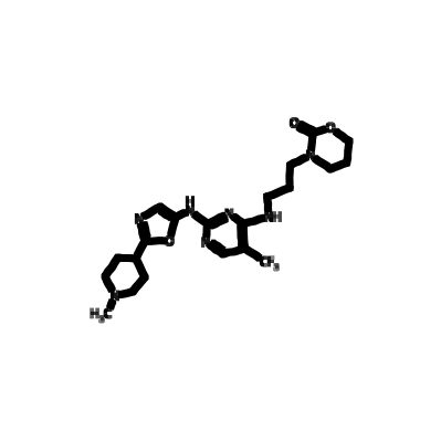 CN1CCC(c2ncc(Nc3ncc(C(F)(F)F)c(NCCCN4CCCOC4=O)n3)o2)CC1